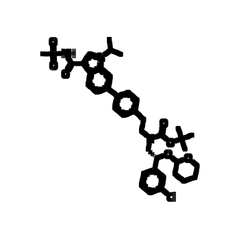 CC(C)n1cc(C(=O)NS(C)(=O)=O)c2ccc(-c3ccc(CCN(C[C@H](OC4CCCCO4)c4cccc(Cl)c4)C(=O)OC(C)(C)C)cc3)cc21